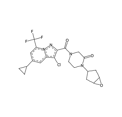 O=C(c1nn2c(C(F)(F)F)cc(C3CC3)cc2c1Cl)N1CCN(C2CC3OC3C2)C(=O)C1